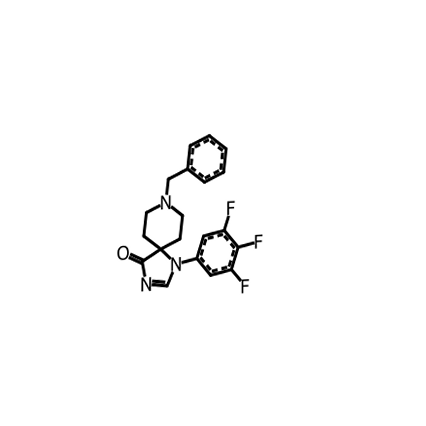 O=C1N=CN(c2cc(F)c(F)c(F)c2)C12CCN(Cc1ccccc1)CC2